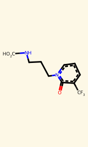 O=C(O)NCCCn1cccc(C(F)(F)F)c1=O